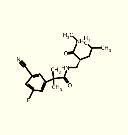 CNC(=O)[C@H](CNC(=O)C(C)(C)c1cc(F)cc(C#N)c1)CC(C)C